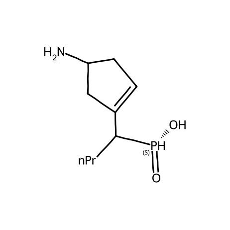 CCCC(C1=CCC(N)C1)[P@@H](=O)O